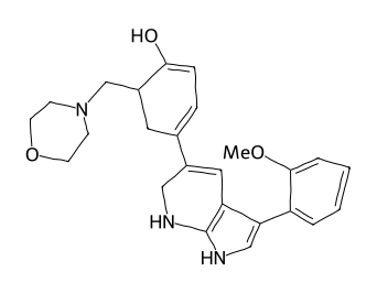 COc1ccccc1-c1c[nH]c2c1C=C(C1=CC=C(O)C(CN3CCOCC3)C1)CN2